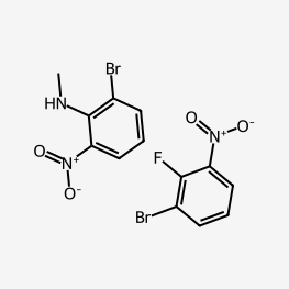 CNc1c(Br)cccc1[N+](=O)[O-].O=[N+]([O-])c1cccc(Br)c1F